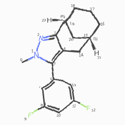 Cn1nc2c(c1-c1cc(F)cc(F)c1)C[C@H]1CCC[C@@H]2C1